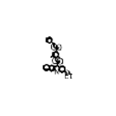 CCOc1ccc2c(C(=O)Oc3c(C)cc(C(=O)OCc4ccccc4)cc3C)c3cc4ccccc4cc3nc2c1